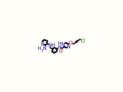 Nc1ncccc1NCc1cccc(NC(=O)c2cnc(OCC#CCCl)cn2)c1